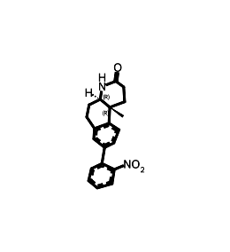 C[C@]12CCC(=O)N[C@@H]1CCc1cc(-c3ccccc3[N+](=O)[O-])ccc12